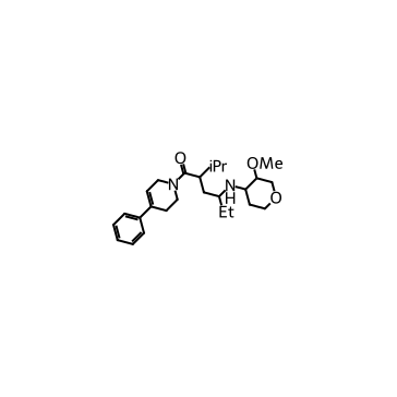 CCC(CC(C(=O)N1CC=C(c2ccccc2)CC1)C(C)C)NC1CCOCC1OC